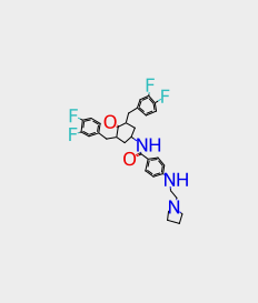 O=C(NC1CC(Cc2ccc(F)c(F)c2)C(=O)C(Cc2ccc(F)c(F)c2)C1)c1ccc(NCCN2CCCC2)cc1